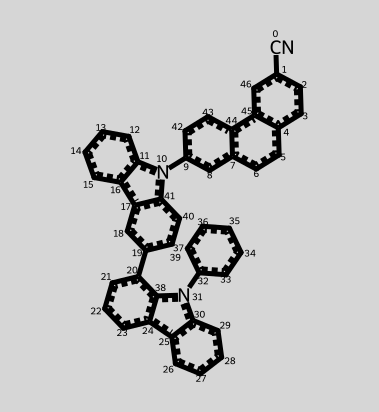 N#Cc1ccc2ccc3cc(-n4c5ccccc5c5cc(-c6cccc7c8ccccc8n(-c8ccccc8)c67)ccc54)ccc3c2c1